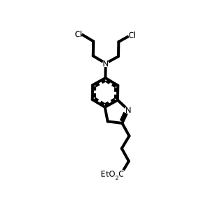 CCOC(=O)CCCC1=Nc2cc(N(CCCl)CCCl)ccc2C1